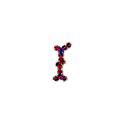 c1ccc(-c2ccc(-c3nc(-c4ccccc4)nc(-c4ccc(-c5ccc6c(-c7cccc8cc(-c9ccc(-c%10cc(-c%11ccccc%11)nc(-c%11ccccc%11)n%10)cc9)ccc78)cccc6c5)cc4)n3)cc2)cc1